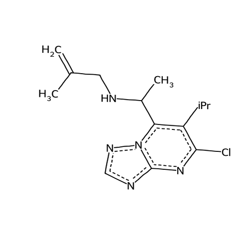 C=C(C)CNC(C)c1c(C(C)C)c(Cl)nc2ncnn12